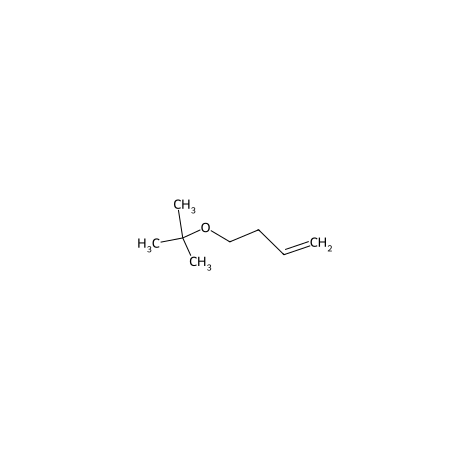 C=CCCOC(C)(C)C